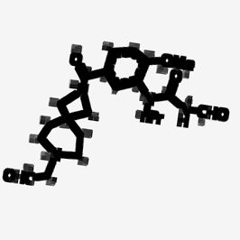 CCCN(C(=O)NC=O)c1cc(C(=O)N2CC3(CCN(CC=O)CC3)C2)ccc1OC